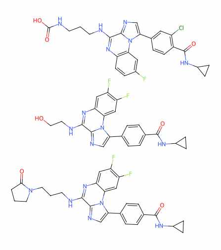 O=C(NC1CC1)c1ccc(-c2cnc3c(NCCCN4CCCC4=O)nc4cc(F)c(F)cc4n23)cc1.O=C(NC1CC1)c1ccc(-c2cnc3c(NCCO)nc4cc(F)c(F)cc4n23)cc1.O=C(O)NCCCNc1nc2ccc(F)cc2n2c(-c3ccc(C(=O)NC4CC4)c(Cl)c3)cnc12